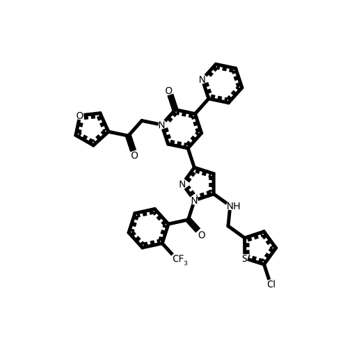 O=C(Cn1cc(-c2cc(NCc3ccc(Cl)s3)n(C(=O)c3ccccc3C(F)(F)F)n2)cc(-c2ccccn2)c1=O)c1ccoc1